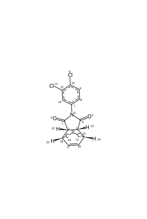 O=C1[C@@H]2[C@H](C(=O)N1c1ccc(Cl)c(Cl)c1)[C@@H]1C=C[C@H]2CCC1